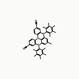 Cc1c(C)c(C)c(B2c3cc(C#N)ccc3N3c4ccc(C#N)cc4B(c4c(C)c(C)c(C)c(C)c4C)c4cc(I)cc2c43)c(C)c1C